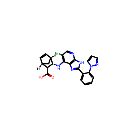 O=C(O)[C@@H]1[C@H](Nc2c(Br)cnc3[nH]c(-c4ccccc4-n4cccn4)nc23)[C@H]2C=C[C@@H]1C2